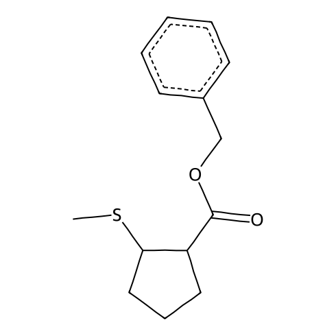 CSC1CCCC1C(=O)OCc1ccccc1